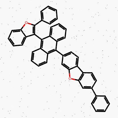 c1ccc(-c2ccc3c(c2)oc2cc(-c4c5ccccc5c(-c5c(-c6ccccc6)oc6ccccc56)c5ccccc45)ccc23)cc1